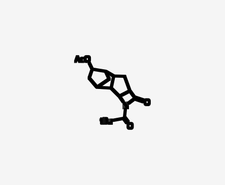 CC(=O)OC1CC2CC1C1CC3C(=O)N(C(=O)C(C)(C)C)C3C21